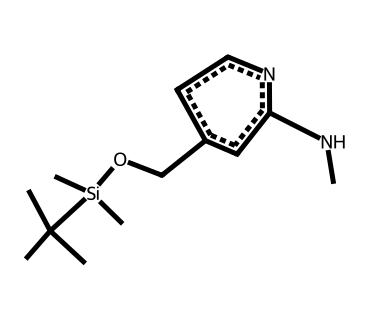 CNc1cc(CO[Si](C)(C)C(C)(C)C)ccn1